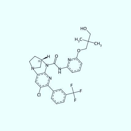 CC(C)(CO)COc1cccc(NC(=O)N2c3nc(-c4cccc(C(F)(F)F)c4)c(Cl)cc3N3CC[C@H]2C3)n1